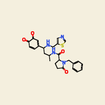 CC(CC(NCc1cncs1)C1=CC(=O)C(=O)C=C1)NC(=O)C1CCC(=O)N1Cc1ccccc1